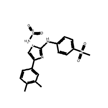 Cc1ccc(-c2csc(Nc3ccc(S(C)(=O)=O)cc3)n2)cc1C.N[SH](=O)=O